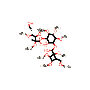 CCCCOCC1[C@@H](OCCCC)C(OCCCC)C1(OCCCC)[C@H](O)OC1C(OCCCC)[C@@H](OCCCC)C(OCCCC)C(O[C@@H](O)C(C)(OCCCC)C(OCCCC)[C@@H](CCO)OCCCC)[C@@H]1O